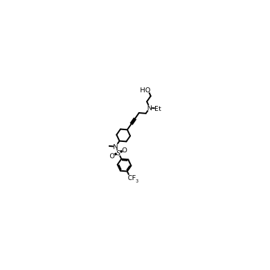 CCN(CCO)CCC#CC1CCC(N(C)S(=O)(=O)c2ccc(C(F)(F)F)cc2)CC1